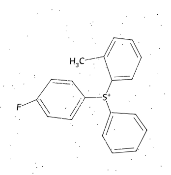 Cc1ccccc1[S+](c1ccccc1)c1ccc(F)cc1